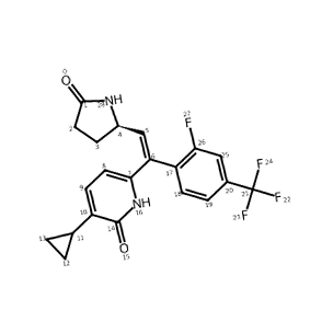 O=C1CC[C@H](/C=C(\c2ccc(C3CC3)c(=O)[nH]2)c2ccc(C(F)(F)F)cc2F)N1